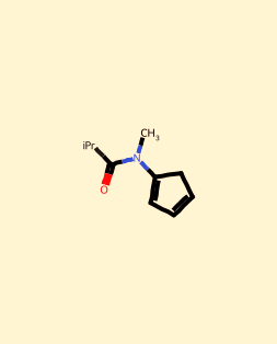 CC(C)C(=O)N(C)C1=CC=CC1